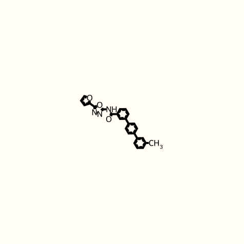 Cc1cccc(-c2ccc(-c3cccc(C(=O)Nc4nnc(-c5ccco5)o4)c3)cc2)c1